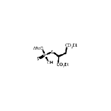 CCOC(=O)CC(SP(O)(=S)OC)C(=O)OCC